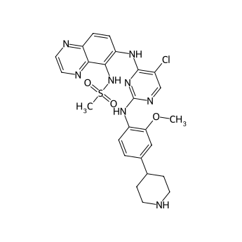 COc1cc(C2CCNCC2)ccc1Nc1ncc(Cl)c(Nc2ccc3nccnc3c2NS(C)(=O)=O)n1